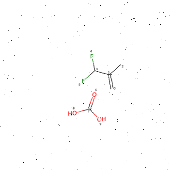 C=C(C)C(F)F.O=C(O)O